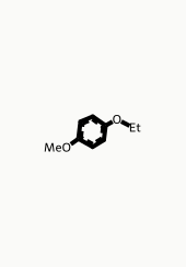 CCOc1ccc(OC)cc1